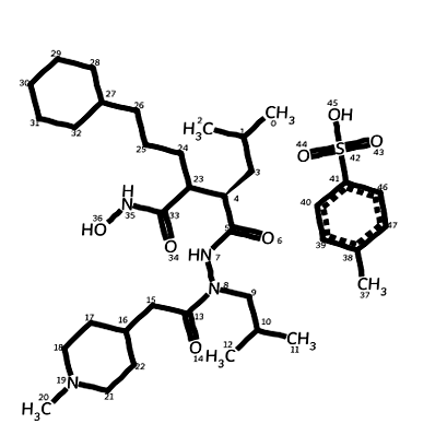 CC(C)C[C@@H](C(=O)NN(CC(C)C)C(=O)CC1CCN(C)CC1)C(CCCC1CCCCC1)C(=O)NO.Cc1ccc(S(=O)(=O)O)cc1